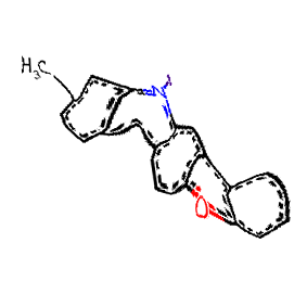 Cc1ccc2c3cc4oc5ccccc5c4cc3n(I)c2c1